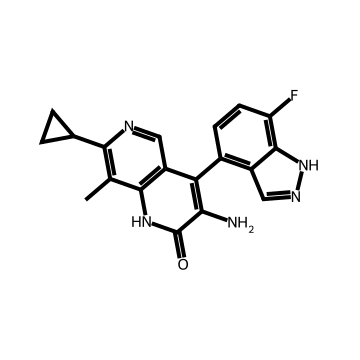 Cc1c(C2CC2)ncc2c(-c3ccc(F)c4[nH]ncc34)c(N)c(=O)[nH]c12